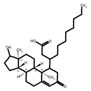 CCCCCCCCC(CC(=O)O)C1CC(=O)C=C2CC[C@H]3[C@@H]4CCC(O)[C@@]4(C)CC[C@@H]3[C@]21C